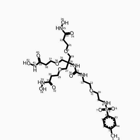 Cc1ccc(S(=O)(=O)NCCOCCNC(=O)NC(COCCC(=O)NO)(COCCC(=O)NO)COCCC(=O)NO)cc1